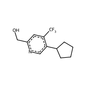 OCc1cc(C(F)(F)F)c(C2CCCC2)cn1